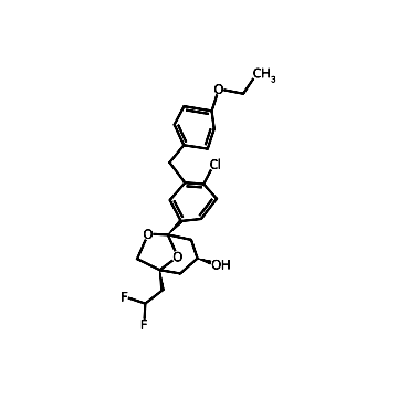 CCOc1ccc(Cc2cc([C@]34C[C@@H](O)C[C@](CC(F)F)(CO3)O4)ccc2Cl)cc1